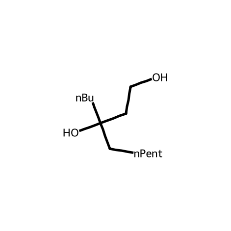 CCCCCCC(O)(CCO)CCCC